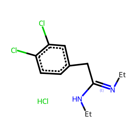 CC/N=C(\Cc1ccc(Cl)c(Cl)c1)NCC.Cl